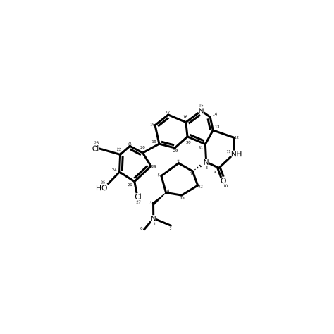 CN(C)C[C@H]1CC[C@H](N2C(=O)NCc3cnc4ccc(-c5cc(Cl)c(O)c(Cl)c5)cc4c32)CC1